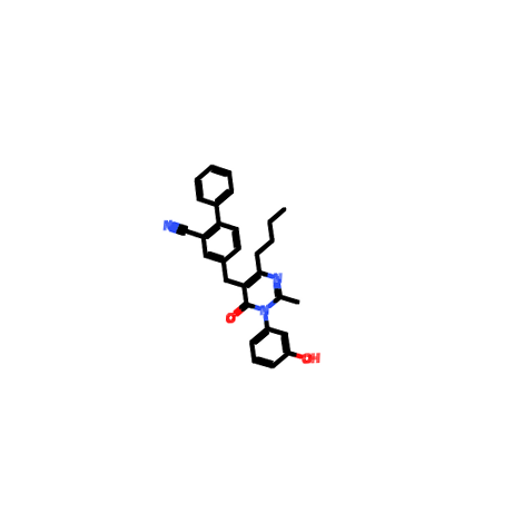 CCCCc1nc(C)n(-c2cccc(O)c2)c(=O)c1Cc1ccc(-c2ccccc2)c(C#N)c1